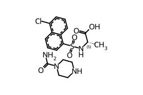 C[C@H](NS(=O)(=O)c1cccc2c(Cl)cccc12)C(=O)O.NC(=O)N1CCNCC1